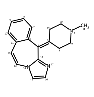 CN1CCC(=C2c3ccccc3C=Cn3ccnc32)CC1